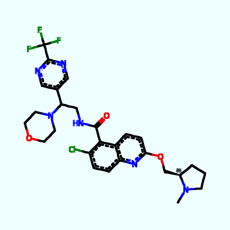 CN1CCC[C@@H]1COc1ccc2c(C(=O)NCC(c3cnc(C(F)(F)F)nc3)N3CCOCC3)c(Cl)ccc2n1